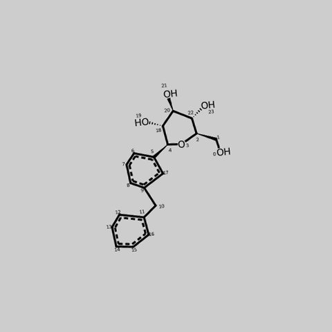 OC[C@H]1O[C@@H](c2cccc(Cc3ccccc3)c2)[C@H](O)[C@@H](O)[C@@H]1O